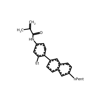 C=C(C)C(=O)Nc1ccc(-c2ccc3cc(CCCCC)ccc3c2)c(CC)c1